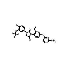 CCc1cc(Oc2ccnc(N)n2)ccc1N1C(=O)CN(c2ccc(F)c(OC(F)(F)F)c2)C1=O